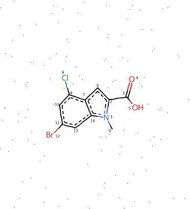 Cn1c(C(=O)O)cc2c(Cl)cc(Br)cc21